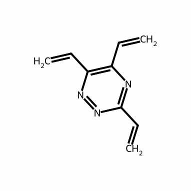 C=Cc1nnc(C=C)c(C=C)n1